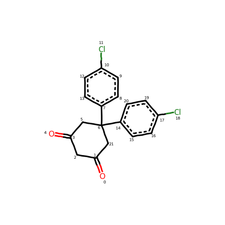 O=C1CC(=O)CC(c2ccc(Cl)cc2)(c2ccc(Cl)cc2)C1